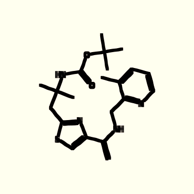 C=C(NCc1ncccc1C)c1csc(CC(C)(C)NC(=O)OC(C)(C)C)n1